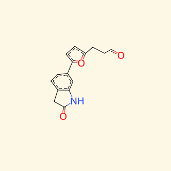 O=CCCc1ccc(-c2ccc3c(c2)NC(=O)C3)o1